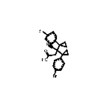 N#CC(CC(=O)O)(C1(c2ccc(Br)cc2)CC1)C1(c2ccc(Br)cc2)CC1